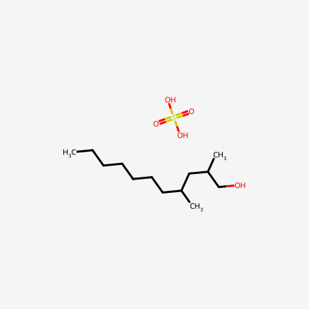 CCCCCCCC(C)CC(C)CO.O=S(=O)(O)O